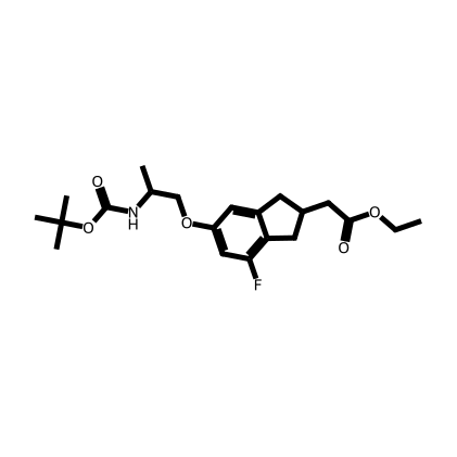 CCOC(=O)CC1Cc2cc(OCC(C)NC(=O)OC(C)(C)C)cc(F)c2C1